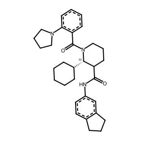 O=C(Nc1ccc2c(c1)CCC2)C1CCCN(C(=O)c2ccccc2N2CCCC2)[C@H]1C1CCCCC1